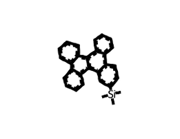 C[Si](C)(C)c1ccc2c3ccccc3c3c4ccccc4c4ccccc4c3c2c1